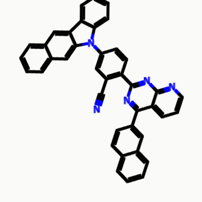 N#Cc1cc(-n2c3ccccc3c3cc4ccccc4cc32)ccc1-c1nc(-c2ccc3ccccc3c2)c2cccnc2n1